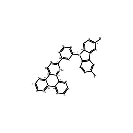 Cc1ccc2c(c1)c1cc(C)ccc1n2-c1cccc(-c2ccc3c4ccccc4c4ccccc4c3n2)c1